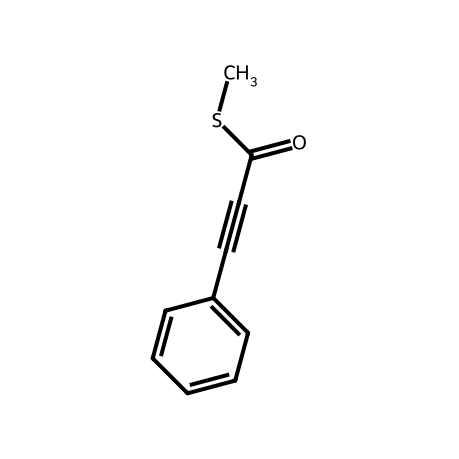 CSC(=O)C#Cc1ccccc1